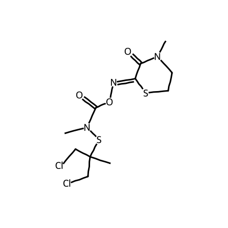 CN1CCSC(=NOC(=O)N(C)SC(C)(CCl)CCl)C1=O